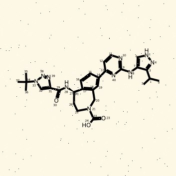 CC(C)c1n[nH]cc1Nc1nccc(-c2ccc3c(c2)CN(C(=O)O)CC[C@H]3NC(=O)c2cn(C(C)(C)C)nn2)n1